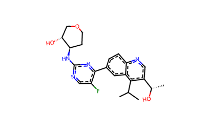 CC(C)c1c([C@H](C)O)cnc2ccc(-c3nc(N[C@@H]4CCOC[C@H]4O)ncc3F)cc12